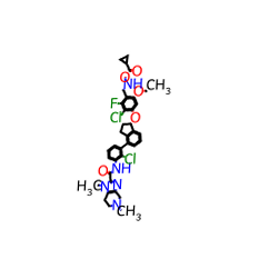 CCOc1cc(OC2CCc3c(-c4cccc(NC(=O)c5nc6c(n5C)CCN(C)C6)c4Cl)cccc32)c(Cl)c(F)c1CNOC(=O)C1CC1